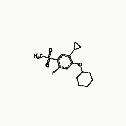 CS(=O)(=O)c1cc(C2CC2)c(OC2CCCCC2)cc1F